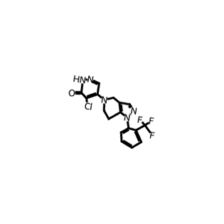 O=c1[nH]ncc(N2CCc3c(cnn3-c3ccccc3C(F)(F)F)C2)c1Cl